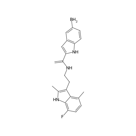 Bc1ccc2[nH]c(C(=C)NCCc3c(C)[nH]c4c(F)ccc(C)c34)cc2c1